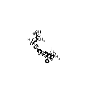 CC(=O)c1c(C)c2cnc(Nc3ccc(N4CCN(C(=O)C(C)CC(C)CC(=O)NO)CC4)cn3)nc2n(C2CCCC2)c1=O